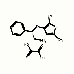 Cc1cc(S[C@H](CN)c2ccccc2)c(C#N)s1.O=C(O)C(=O)O